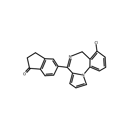 O=C1CCc2cc(C3=NCc4c(Cl)cccc4-n4cccc43)ccc21